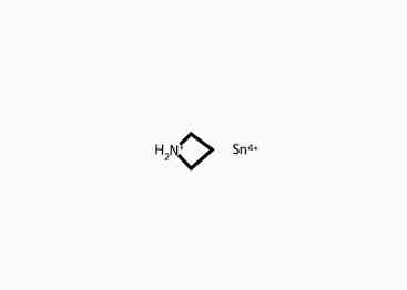 C1C[NH2+]C1.[Sn+4]